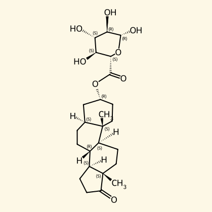 C[C@]12CC[C@@H](OC(=O)[C@H]3O[C@@H](O)[C@H](O)[C@@H](O)[C@@H]3O)C[C@@H]1CC[C@@H]1[C@@H]2CC[C@]2(C)C(=O)CC[C@@H]12